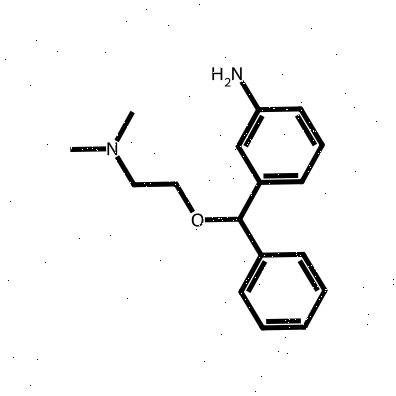 CN(C)CCOC(c1ccccc1)c1cccc(N)c1